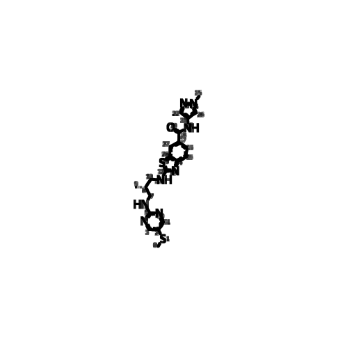 CSc1cnc(NC[C@H](C)CNc2nc3ccc(C(=O)Nc4cnn(C)c4)cc3s2)nc1